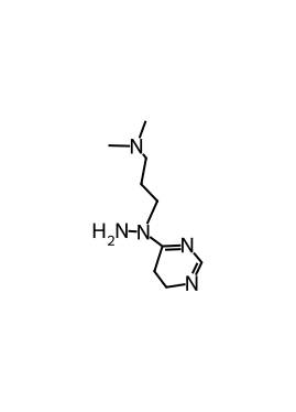 CN(C)CCCN(N)C1=NC=NCC1